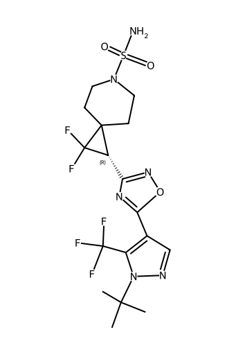 CC(C)(C)n1ncc(-c2nc([C@@H]3C(F)(F)C34CCN(S(N)(=O)=O)CC4)no2)c1C(F)(F)F